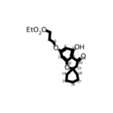 CCOC(=O)CCCOc1cc(O)c2c(c1)OC1(CCCCC1)CC2=O